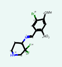 COc1cc([N+](=O)[O-])c(C=NC2CCNCC2(F)F)cc1Br